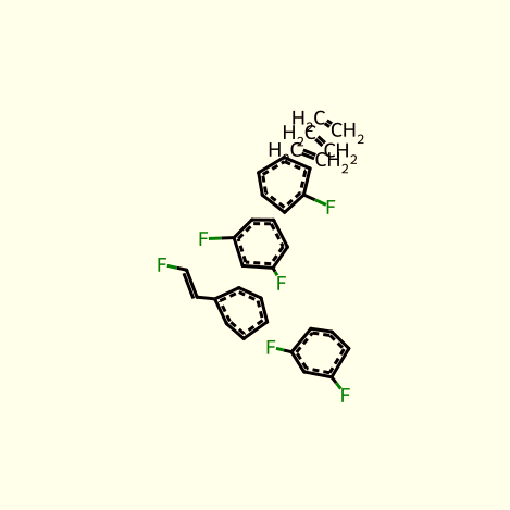 C=C.C=C.C=C.FC=Cc1ccccc1.Fc1cccc(F)c1.Fc1cccc(F)c1.Fc1ccccc1